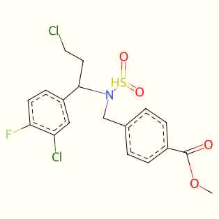 COC(=O)c1ccc(CN(C(CCCl)c2ccc(F)c(Cl)c2)[SH](=O)=O)cc1